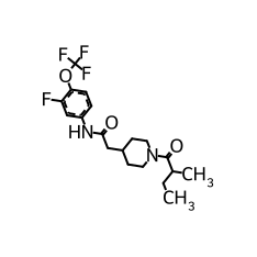 CCC(C)C(=O)N1CCC(CC(=O)Nc2ccc(OC(F)(F)F)c(F)c2)CC1